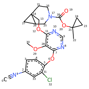 [C-]#[N+]c1ccc(Oc2ncnc(OCC34CCN(C(=O)OC5(C)CC5)CC3C4)c2OC)c(Cl)c1